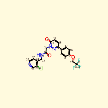 O=C(Cn1nc(-c2ccc(OCC(F)(F)F)cc2)ccc1=O)NCc1ccncc1Cl